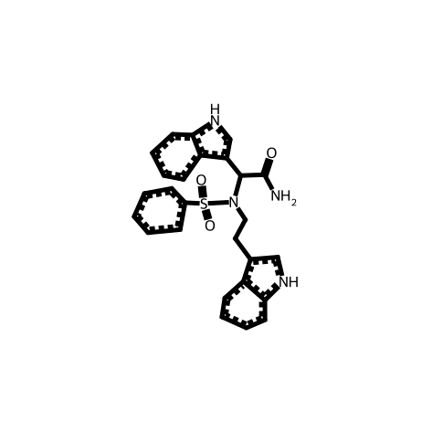 NC(=O)C(c1c[nH]c2ccccc12)N(CCc1c[nH]c2ccccc12)S(=O)(=O)c1ccccc1